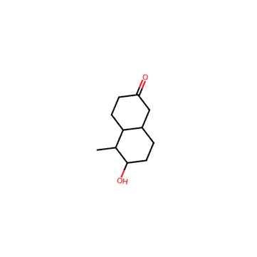 CC1C(O)CCC2CC(=O)CCC21